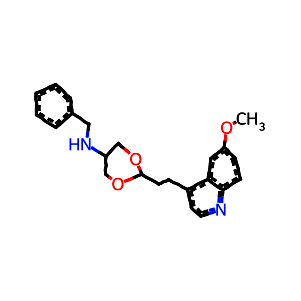 COc1ccc2nccc(CCC3OCC(NCc4ccccc4)CO3)c2c1